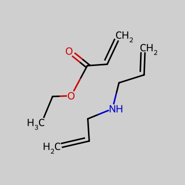 C=CC(=O)OCC.C=CCNCC=C